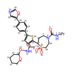 CC(C)NC(=O)N1CC[C@](CC(=O)NOC2CCCCO2)(c2ccc(-c3ccc(-c4cnco4)cc3)s2)S(=O)(=O)CC1